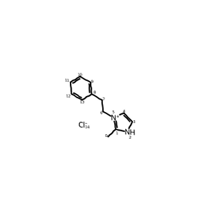 Cc1[nH]cc[n+]1CCc1ccccc1.[Cl-]